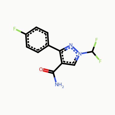 NC(=O)c1cn(C(F)F)nc1-c1ccc(F)cc1